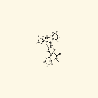 CN(C(=O)c1ccc(CC2(c3cscn3)Nc3ccccc3N2)cc1)C1CCCCC1